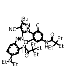 CCN(CC)c1ccc(N=Nc2c(C#N)c(C(C)(C)C)nn2-c2c(Cl)cc(NC(=O)C(CC)(CC)CC)cc2Cl)c(NC(=O)C(CC)(CC)CC)c1